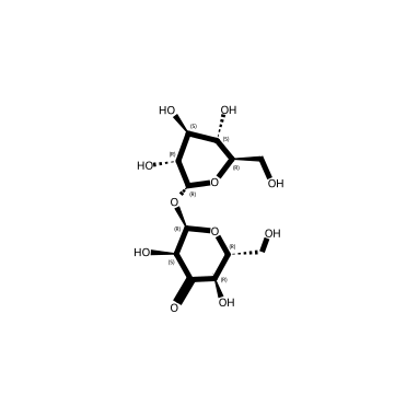 O=C1[C@@H](O)[C@@H](O[C@H]2O[C@H](CO)[C@@H](O)[C@H](O)[C@H]2O)O[C@H](CO)[C@H]1O